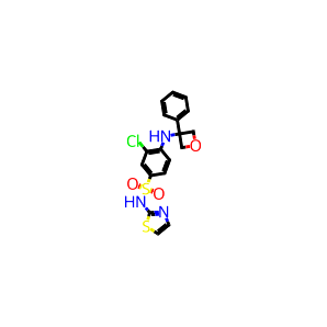 O=S(=O)(Nc1nccs1)c1ccc(NC2(c3ccccc3)COC2)c(Cl)c1